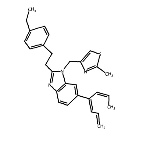 C=C/C=C(\C=C/C)c1ccc2nc(CCc3ccc(CC)cc3)n(Cc3csc(C)n3)c2c1